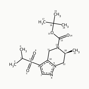 CC(C)S(=O)(=O)c1cnn2c1CN(C(=O)OC(C)(C)C)[C@@H](C)C2